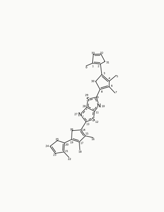 CC1=C(C2=C(C)C(C)=C(c3nc4sc(C5=C(C)C(C)=C(C6=C(C)C=CC6)C5)nc4s3)C2)CC=C1